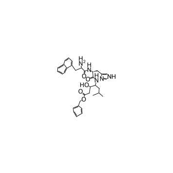 CC(C)CC(NC(=O)[C@H](Cc1c[nH]cn1)NC(=O)[C@H](N)Cc1cccc2ccccc12)C(O)CC(=O)OCc1ccccc1